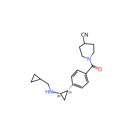 N#CC1CCN(C(=O)c2ccc([C@@H]3C[C@H]3NCC3CC3)cc2)CC1